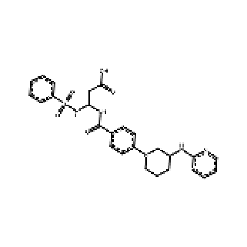 O=C(O)CC(NC(=O)c1ccc(N2CCCC(Nc3ncccn3)C2)cc1)NS(=O)(=O)c1ccccc1